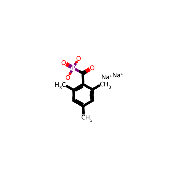 Cc1cc(C)c(C(=O)P(=O)([O-])[O-])c(C)c1.[Na+].[Na+]